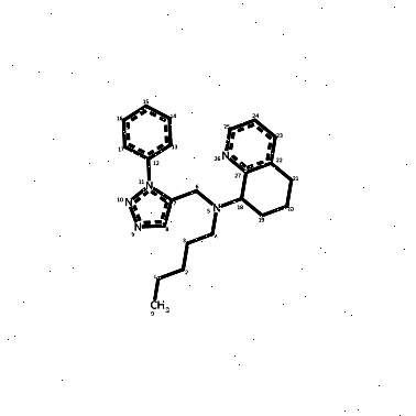 CCCCCN(Cc1cnnn1-c1ccccc1)C1CCCc2cccnc21